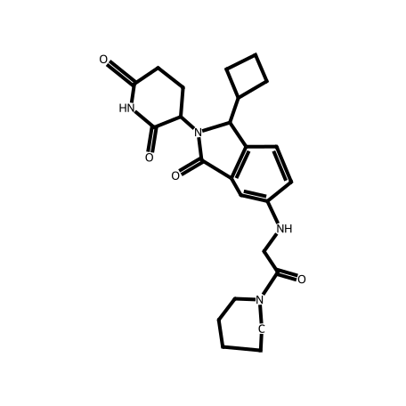 O=C1CCC(N2C(=O)c3cc(NCC(=O)N4CCCCC4)ccc3C2C2CCC2)C(=O)N1